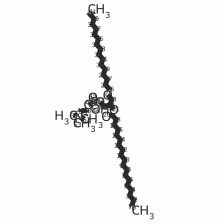 CCCCCCCCCCCCCCCCCCCC(=O)OC(COCCCCCCCCCCCCCCCCC)COP(=O)(O)OCC[N+](C)(C)C